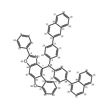 c1ccc(-c2nc3c(N(c4ccc(-c5ccc6ccccc6c5)cc4)c4ccc(-c5cccc6ccccc56)cc4)c4c(cc3o2)oc2ccccc24)cc1